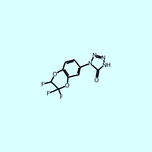 O=c1[nH]nnn1-c1ccc2c(c1)OC(F)(F)C(F)O2